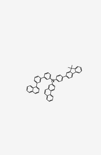 CC1(C)c2ccccc2-c2ccc(-c3ccc(N(c4cccc(-c5cccc(-c6cccc7ccccc67)c5)c4)c4ccc5c(ccc6ccccc65)c4)cc3)cc21